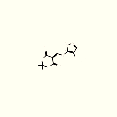 CCOC(=O)c1cn[nH]c1NC=C1C(=O)OC(C)(C)OC1=O